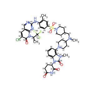 Cc1cc(S(=O)(=O)N2CCC(CN(C)C3CCN(c4cccc5c4n(C)c(=O)n5C4CCC(=O)NC4=O)CC3)CC2)ccc1Nc1ncc2cc(Cl)c(=O)n(C(C)C(F)(F)F)c2n1